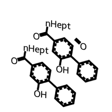 C=O.CCCCCCCC(=O)c1ccc(-c2ccccc2)c(O)c1.CCCCCCCC(=O)c1ccc(-c2ccccc2)c(O)c1